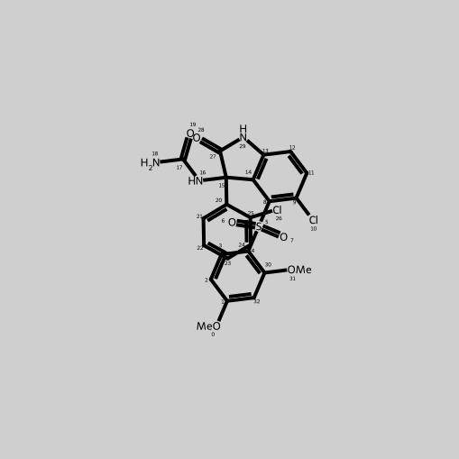 COc1ccc(S(=O)(=O)c2c(Cl)ccc3c2C(NC(N)=O)(c2ccccc2Cl)C(=O)N3)c(OC)c1